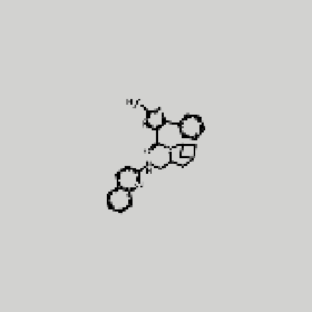 Cc1nc(C(=O)N2C(CNc3ccc4ccccc4n3)CC3CC2C3)c(-c2ccccc2)s1